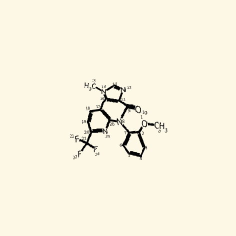 COc1ccccc1-n1c(=O)c2ncn(C)c2c2ccc(C(F)(F)F)nc21